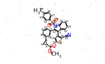 COC(=O)C1CC1c1cccc(-c2c(-c3ccsc3C#N)c3ccccc3n2S(=O)(=O)c2ccc(C)cc2)c1